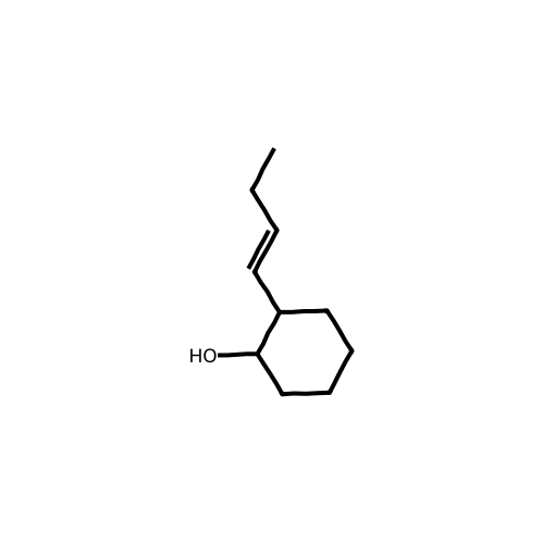 CC/C=C/C1CCCCC1O